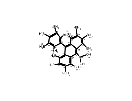 Bc1c(B)c(B)c(-c2c3c(B)c(B)c(B)c(B)c3c(B(O)O)c3c(B)c(B)c(B)c(B)c23)c(B)c1B